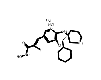 Cl.Cl.O=C(NO)/C(F)=C/c1cnc(N[C@@]2(CC3CCCCC3)CCCNC2)c(Cl)c1